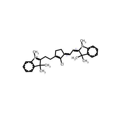 CN1/C(=C/C=C2\CCC(CCC3=[N+](C)c4ccccc4C3(C)C)=C2Cl)C(C)(C)c2ccccc21